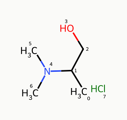 CC(CO)N(C)C.Cl